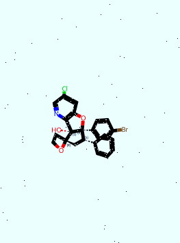 O[C@]12c3ncc(Cl)cc3O[C@@]1(c1ccc(Br)cc1)[C@H](C1C=CC=CC1)C[C@@]21CCO1